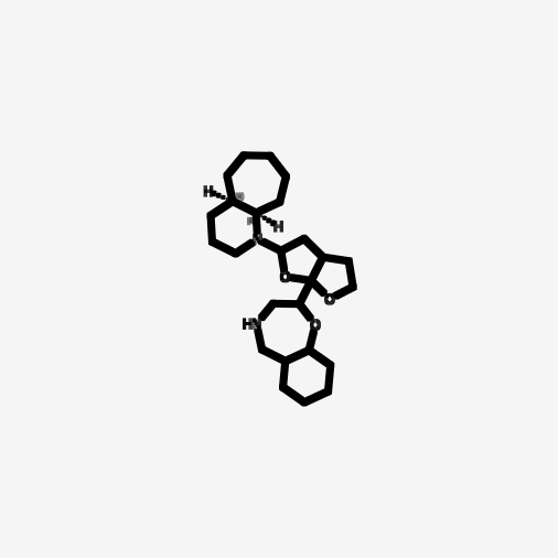 C1CC[C@@H]2CCCN(C3CC4CCOC4(C4CNCC5CCCCC5O4)O3)[C@@H]2CC1